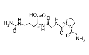 NCC(=O)N1CCC[C@H]1C(=O)NCC(=O)N[C@@H](CCCNC(N)=O)C(=O)O